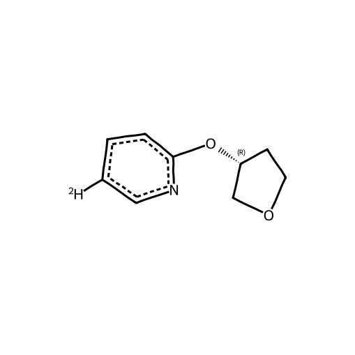 [2H]c1ccc(O[C@@H]2CCOC2)nc1